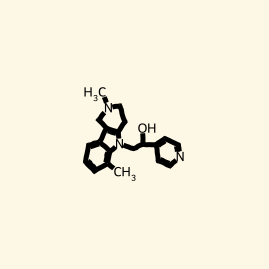 Cc1cccc2c3c(n(CC(O)c4ccncc4)c12)CCN(C)C3